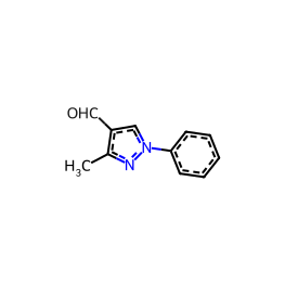 Cc1nn(-c2ccccc2)cc1C=O